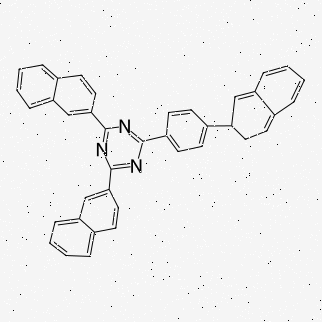 C1=c2ccccc2=CC(c2ccc(-c3nc(-c4ccc5ccccc5c4)nc(-c4ccc5ccccc5c4)n3)cc2)C1